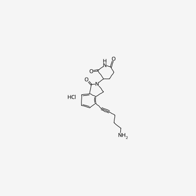 Cl.NCCCC#Cc1cccc2c1CN(C1CCC(=O)NC1=O)C2=O